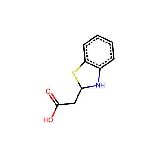 O=C(O)CC1Nc2ccccc2S1